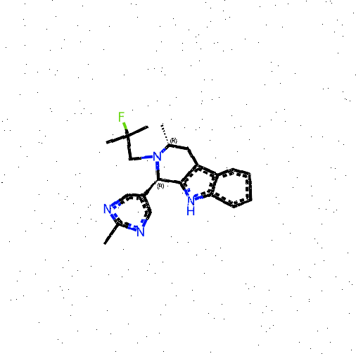 Cc1ncc([C@@H]2c3[nH]c4ccccc4c3C[C@@H](C)N2CC(C)(C)F)cn1